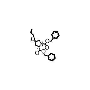 C=CCO[C@H]1C[C@@H](C(=O)OCc2ccccc2)N(C(=O)OCc2ccccc2)C1